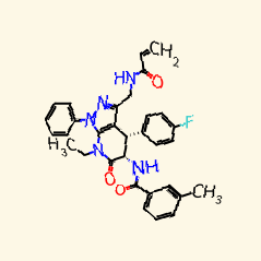 C=CC(=O)NCc1nn(-c2ccccc2)c2c1[C@H](c1ccc(F)cc1)[C@H](NC(=O)c1cccc(C)c1)C(=O)N2CC